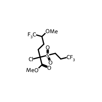 COC(=O)C(Cl)(CCC(OC)C(F)(F)F)S(=O)(=O)CCC(F)(F)F